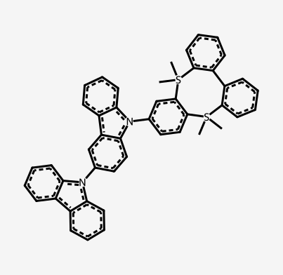 CS1(C)c2ccccc2-c2ccccc2S(C)(C)c2cc(-n3c4ccccc4c4cc(-n5c6ccccc6c6ccccc65)ccc43)ccc21